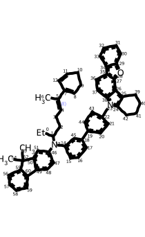 CCC(CC/C=C(\C)C1=CCCC=C1)N(c1cccc(-c2ccc(-n3c4c(c5c6oc7ccccc7c6ccc53)CCCC4)cc2)c1)c1ccc2c(c1)C(C)(C)c1ccccc1-2